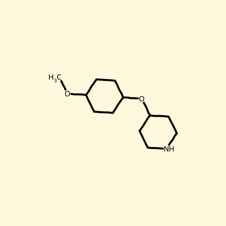 COC1CCC(OC2CCNCC2)CC1